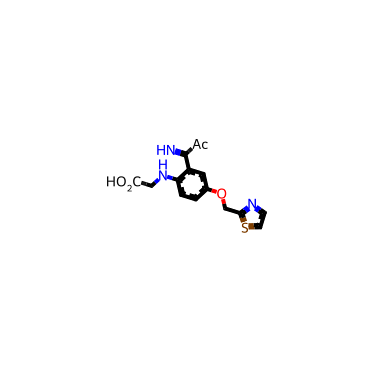 CC(=O)C(=N)c1cc(OCc2nccs2)ccc1NCC(=O)O